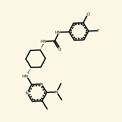 Cc1cnc(N[C@H]2CC[C@@H](NC(=O)Nc3ccc(F)c(Cl)c3)CC2)nc1N(C)C